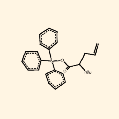 C=CCC(CCCC)C(=O)O[Si](c1ccccc1)(c1ccccc1)c1ccccc1